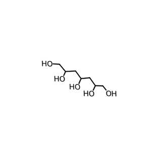 OCC(O)CC(O)CC(O)CO